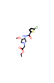 CCOC(=O)CN1C[C@H](NC(=O)c2ccc(Cl)s2)[C@@H](OC)C1